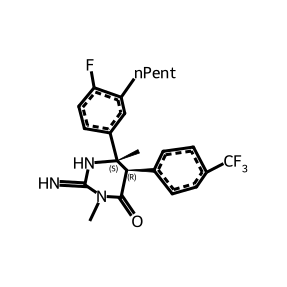 CCCCCc1cc([C@@]2(C)NC(=N)N(C)C(=O)[C@@H]2c2ccc(C(F)(F)F)cc2)ccc1F